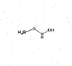 OBO[SiH3]